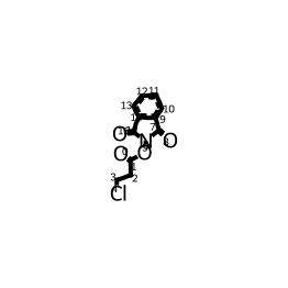 O=C(CCCl)ON1C(=O)c2ccccc2C1=O